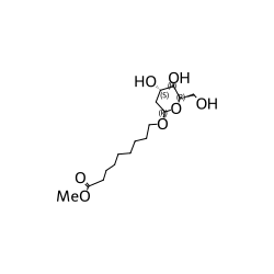 COC(=O)CCCCCCCCO[C@H]1C[C@H](O)[C@@H](O)[C@@H](CO)O1